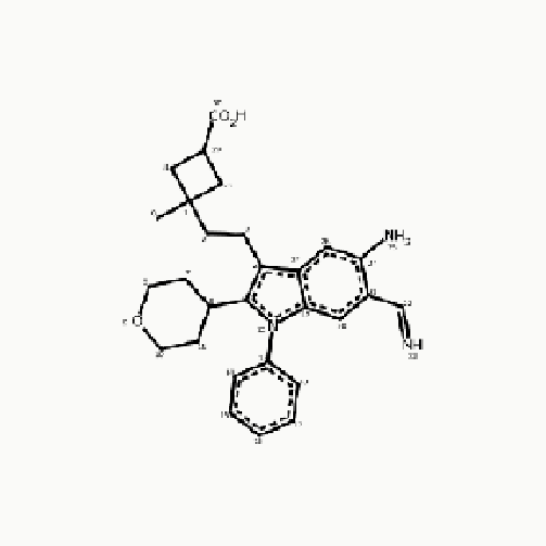 CC1(CCc2c(C3CCOCC3)n(-c3ccccc3)c3cc(C=N)c(N)cc23)CC(C(=O)O)C1